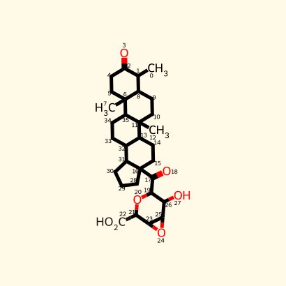 CC1C(=O)CCC2(C)C1CCC1(C)C3CCC4(C(=O)C5OC(C(=O)O)C6OC6C5O)CCCC4C3CCC21